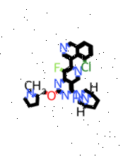 CN1CCC[C@H]1COc1nc(N2C[C@H]3CC[C@@H](C2)N3)c2cnc(-c3cncc4cccc(Cl)c34)c(F)c2n1